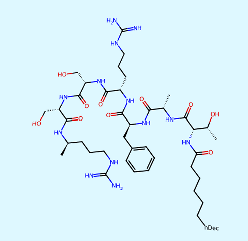 CCCCCCCCCCCCCCCC(=O)N[C@H](C(=O)N[C@@H](C)C(=O)N[C@@H](Cc1ccccc1)C(=O)N[C@@H](CCCNC(=N)N)C(=O)N[C@@H](CO)C(=O)N[C@@H](CO)C(=O)N[C@H](C)CCCNC(=N)N)[C@@H](C)O